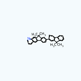 CC1(C)c2ccccc2-c2ccc(-c3ccc4c(c3)C(C)(C)c3cc5ncccc5cc3-4)cc21